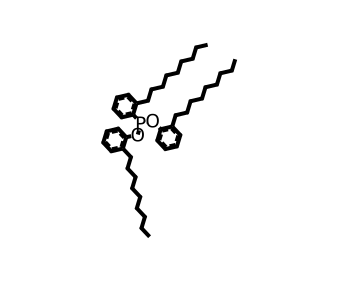 CCCCCCCCCc1ccccc1OP(Oc1ccccc1CCCCCCCCC)c1ccccc1CCCCCCCCC